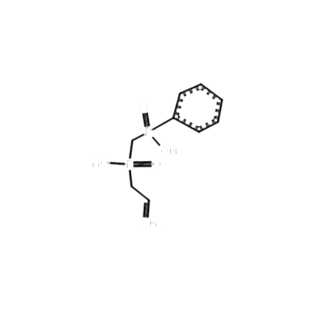 C=CCP(=O)(O)CP(=O)(O)c1ccccc1